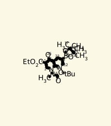 CCOC(=O)c1cn(N(C)C(=O)OC(C)(C)C)c2ncc(B3OC(C)(C)C(C)(C)O3)cc2c1=O